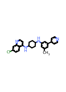 Cc1cc(NC2CCC(Nc3ccnc4cc(Cl)ccc34)CC2)cc(-c2ccncc2)c1